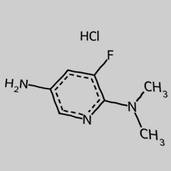 CN(C)c1ncc(N)cc1F.Cl